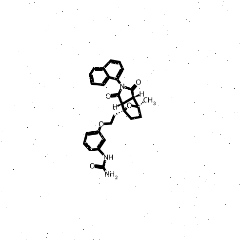 C[C@]12CC[C@](CCOc3cccc(NC(N)=O)c3)(O1)[C@@H]1C(=O)N(c3cccc4ccccc34)C(=O)[C@@H]12